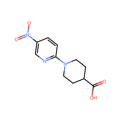 O=C(O)C1CCN(c2ccc([N+](=O)[O-])cn2)CC1